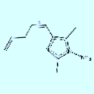 C=CC/C=C\c1nc(C)n(N)c1C